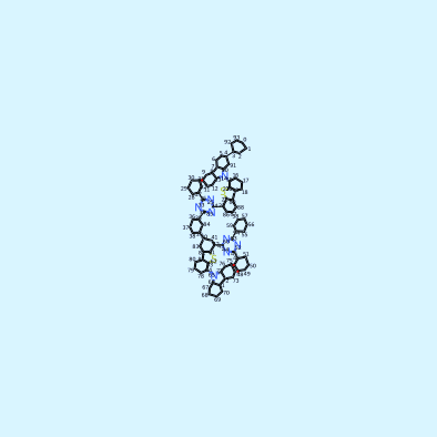 c1ccc(-c2ccc3c4ccccc4n(-c4cccc5c4sc4c(-c6nc(-c7ccccc7)nc(-c7cccc(-c8cc(-c9nc(-c%10ccccc%10)nc(-c%10ccccc%10)n9)c9sc%10c(-n%11c%12ccccc%12c%12ccccc%12%11)cccc%10c9c8)c7)n6)cccc45)c3c2)cc1